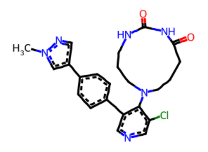 Cn1cc(-c2ccc(-c3cncc(Cl)c3N3CCCNC(=O)NC(=O)CCC3)cc2)cn1